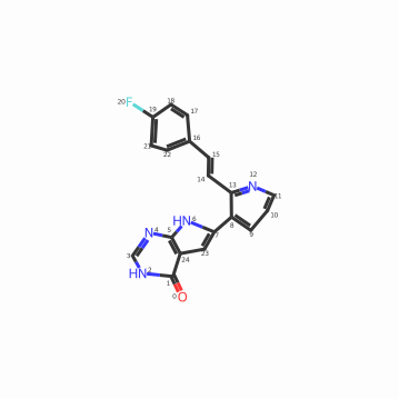 O=c1[nH]cnc2[nH]c(-c3cccnc3C=Cc3ccc(F)cc3)cc12